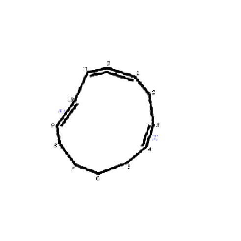 C1=C[CH]/C=C\CCCC/C=C/C=1